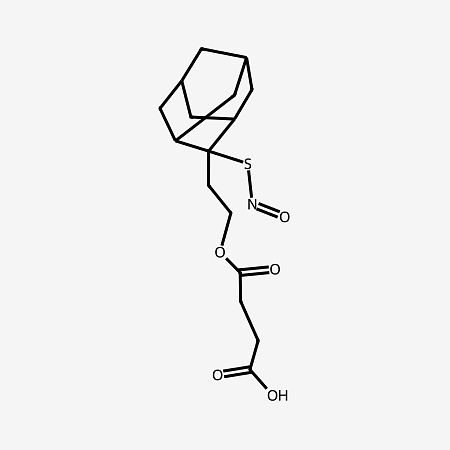 O=NSC1(CCOC(=O)CCC(=O)O)C2CC3CC(C2)CC1C3